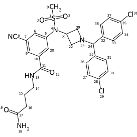 CS(=O)(=O)N(c1cc(C#N)cc(C(=O)NCCCC(N)=O)c1)C1CN(C(c2ccc(Cl)cc2)c2ccc(Cl)cc2)C1